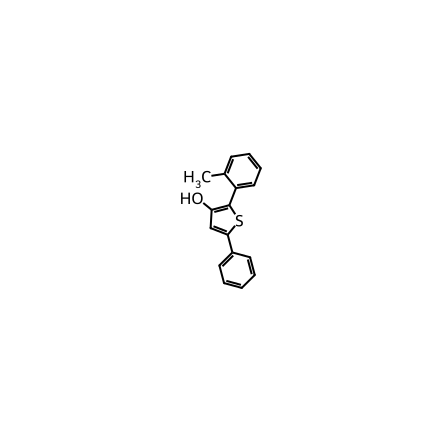 Cc1ccccc1-c1sc(-c2ccccc2)cc1O